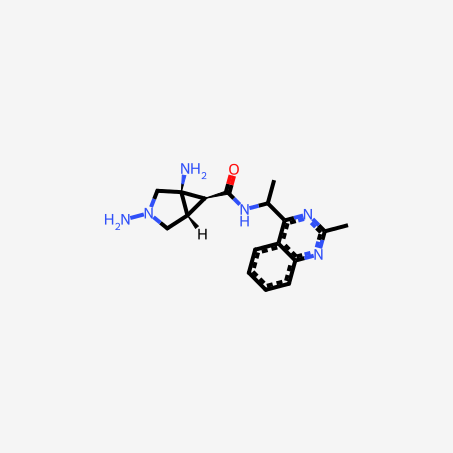 Cc1nc(C(C)NC(=O)[C@H]2[C@@H]3CN(N)C[C@@]32N)c2ccccc2n1